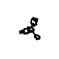 C1CNCCN1.O=C(C=Cc1ccccc1)N1CCNCC1